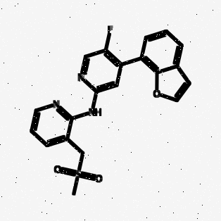 CS(=O)(=O)Cc1cccnc1Nc1cc(-c2cccc3ccoc23)c(F)cn1